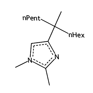 CCCCCCC(C)(CCCCC)c1cn(C)c(C)n1